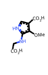 COc1c(C(=O)O)c[nH]c1NCC(=O)O